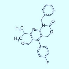 CC(C)c1nc2c(c(-c3ccc(F)cc3)c1C=O)COC(=O)N2Cc1ccccc1